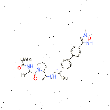 C=C(N/C=C(/c1ccc(-c2ccc(C3=CN(C)ON3)cc2)cc1)C(C)CC)C1CCCN1C(=O)C(NC(=O)OC)C(C)C